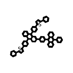 C1=C(c2ccc(-c3c4ccccc4c(-c4ccccc4)c4ccccc34)cc2)CCC2C1=C(c1ccc(-c3ccc(-c4ccccc4)s3)cc1)c1ccccc1C2c1ccc(-c2ccc(-c3ccccc3)s2)cc1